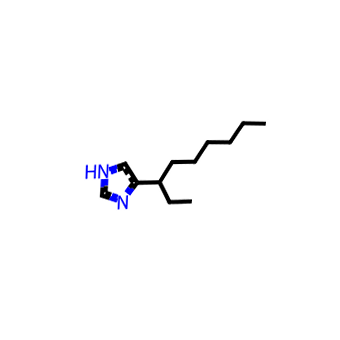 CCCCCCC(CC)c1c[nH]cn1